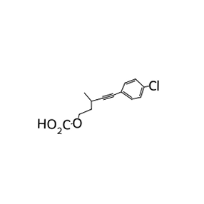 CC(C#Cc1ccc(Cl)cc1)CCOC(=O)O